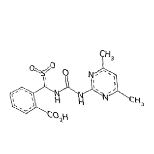 Cc1cc(C)nc(NC(=O)NC(c2ccccc2C(=O)O)=S(=O)=O)n1